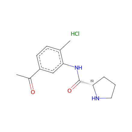 CC(=O)c1ccc(C)c(NC(=O)[C@@H]2CCCN2)c1.Cl